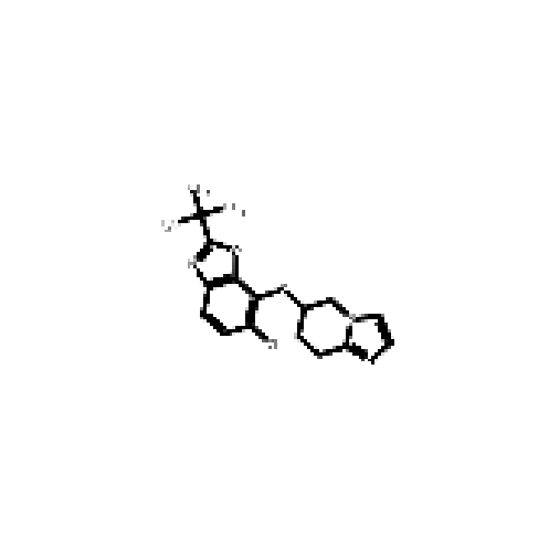 CC(C)(C)c1nc2ccc(Cl)c(SC3CCc4nccn4C3)c2o1